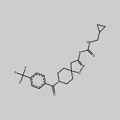 O=C(NCC1CC1)OC1=NOC2(CCN(C(=O)c3ccc(C(F)(F)F)cc3)CC2)C1